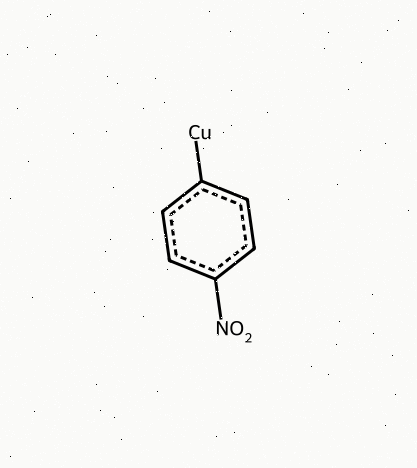 O=[N+]([O-])c1cc[c]([Cu])cc1